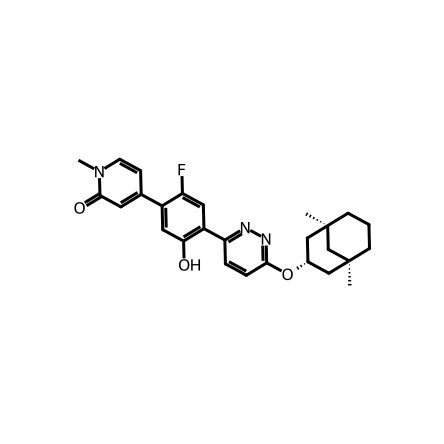 Cn1ccc(-c2cc(O)c(-c3ccc(O[C@H]4C[C@]5(C)CCC[C@](C)(C4)C5)nn3)cc2F)cc1=O